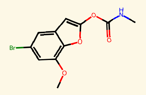 CNC(=O)Oc1cc2cc(Br)cc(OC)c2o1